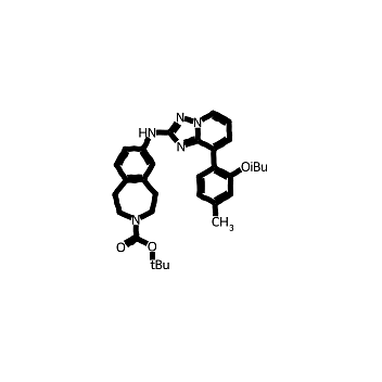 Cc1ccc(-c2cccn3nc(Nc4ccc5c(c4)CCN(C(=O)OC(C)(C)C)CC5)nc23)c(OCC(C)C)c1